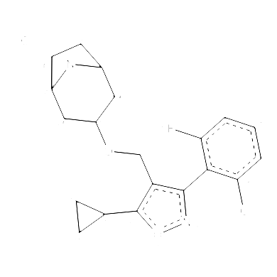 C[C@@H]1CC2CC(OCc3c(-c4c(F)cccc4Cl)noc3C3CC3)CC1N2